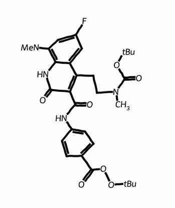 CNc1cc(F)cc2c(CCN(C)C(=O)OC(C)(C)C)c(C(=O)Nc3ccc(C(=O)OOC(C)(C)C)cc3)c(=O)[nH]c12